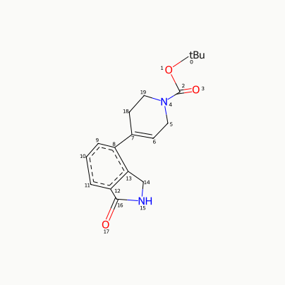 CC(C)(C)OC(=O)N1CC=C(c2cccc3c2CNC3=O)CC1